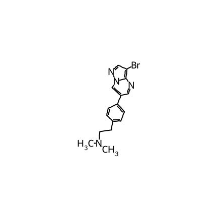 CN(C)CCc1ccc(-c2cnc3c(Br)cnn3c2)cc1